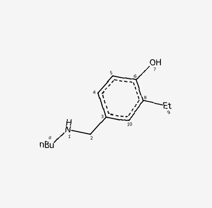 CCCCNCc1ccc(O)c(CC)c1